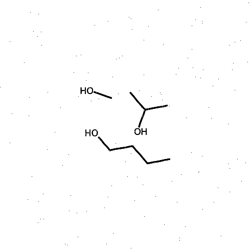 CC(C)O.CCCCO.CO